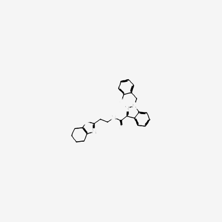 O=C(NCCc1nc2c(s1)CCCC2)c1nn(Cc2ccccc2Cl)c2ccccc12